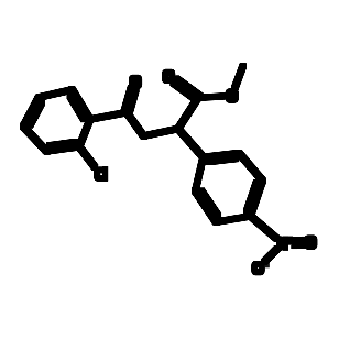 COC(=O)C(CC(=O)c1ccccc1Cl)c1ccc([N+](=O)[O-])cc1